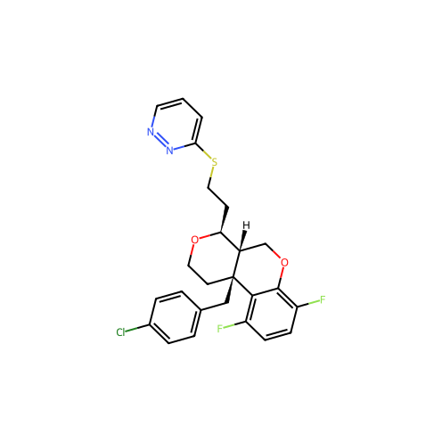 Fc1ccc(F)c2c1OC[C@H]1[C@H](CCSc3cccnn3)OCC[C@@]21Cc1ccc(Cl)cc1